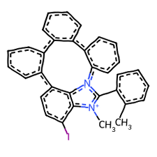 Cc1ccccc1-c1n2c3ccccc3c3ccccc3c3ccccc3c3ccc(I)c(c32)[n+]1C